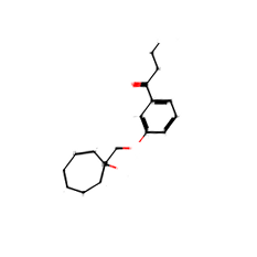 CCCC(=O)c1cccc(OCC2(O)CCCCCC2)c1